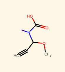 C#CC(OC)N(I)C(=O)O